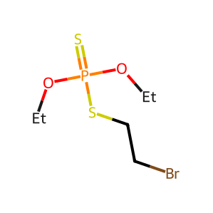 CCOP(=S)(OCC)SCCBr